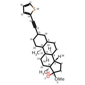 COC1(O)CC[C@H]2[C@@H]3CCC4CC(C#Cc5cccs5)CC[C@]4(C)[C@@H]3CC[C@@]21C